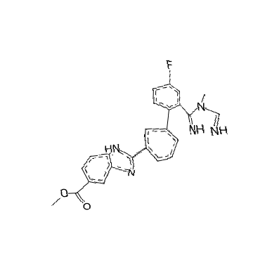 COC(=O)c1ccc2[nH]c(-c3cccc(-c4ccc(F)cc4C(=N)N(C)C=N)c3)nc2c1